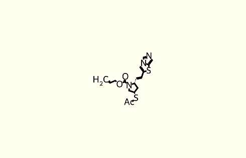 C=CCOC(=O)N1C[C@@H](SC(C)=O)C[C@H]1C=Cc1cn2cncc2s1